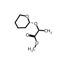 COC(=O)C(C)O[C@@H]1CCCCO1